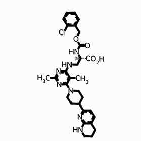 Cc1nc(NC[C@H](NC(=O)OCc2ccccc2Cl)C(=O)O)c(C)c(N2CCC(c3ccc4c(n3)NCCC4)CC2)n1